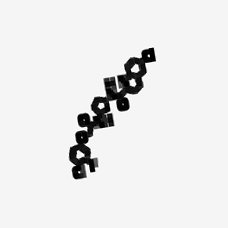 O=C(COc1ccc(Cl)c(F)c1)N[C@H]1CC[C@H](NC(=O)c2ccc3cc(Cl)ccc3n2)C1